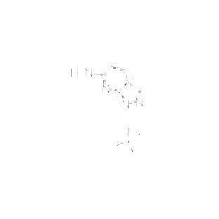 Nc1ccc2cnn(C[C@@H]3CC3(F)F)c2n1